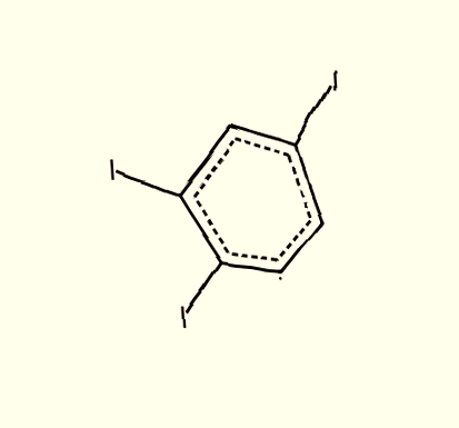 Ic1c[c]c(I)c(I)c1